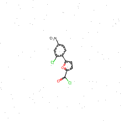 O=C(Cl)c1ccc(-c2ccc([N+](=O)[O-])cc2Cl)o1